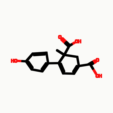 CC1(C(=O)O)CC(C(=O)O)=CC=C1c1ccc(O)cc1